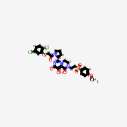 COc1ccc(S(=O)(=O)CCN2CCn3c([C@@H]4CCCN4C(=O)CSc4cc(Cl)ccc4Cl)nc(=O)c(O)c3C2=O)cc1